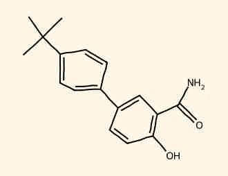 CC(C)(C)c1ccc(-c2ccc(O)c(C(N)=O)c2)cc1